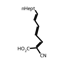 CCCCCCCC=CC=CC=C(C#N)C(=O)O